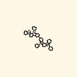 c1ccc(-n2c3ccccc3c3c4c5ccc(-c6ccc7c(c6)c6ccc8c9ccccc9oc8c6n7-c6ccccc6)cc5n(-c5ccccc5)c4ccc32)cc1